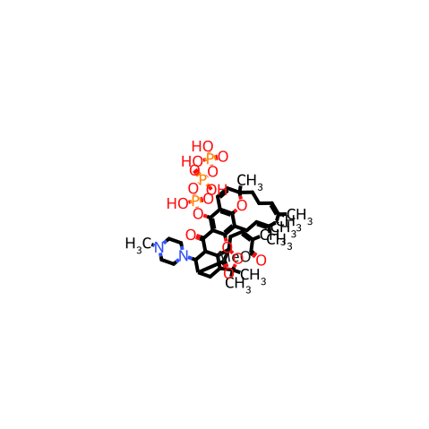 COC(=O)/C(C)=C\CC12OC(C)(C)C3CC(C1=O)C(N1CCN(C)CC1)C1C(=O)c4c(OP(=O)(O)OP(=O)(O)OP(=O)(O)O)c5c(c(CC=C(C)C)c4OC132)OC(C)(CCC=C(C)C)C=C5